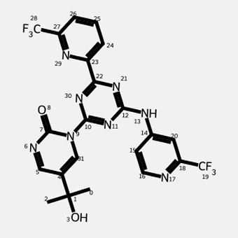 CC(C)(O)c1cnc(=O)n(-c2nc(Nc3ccnc(C(F)(F)F)c3)nc(-c3cccc(C(F)(F)F)n3)n2)c1